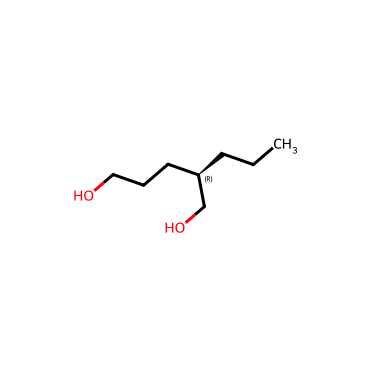 CCC[C@@H](CO)CCCO